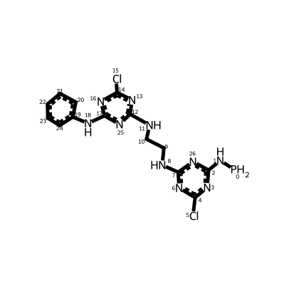 PNc1nc(Cl)nc(NCCNc2nc(Cl)nc(Nc3ccccc3)n2)n1